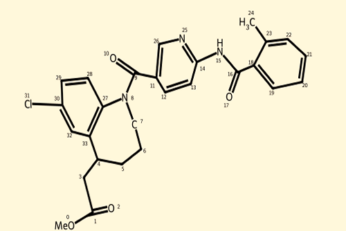 COC(=O)CC1CCCN(C(=O)c2ccc(NC(=O)c3ccccc3C)nc2)c2ccc(Cl)cc21